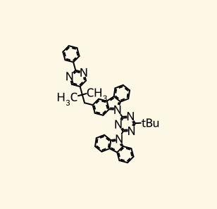 CC(C)(C)c1nc(-n2c3ccccc3c3ccccc32)nc(-n2c3ccccc3c3cc(CC(C)(C)c4cnc(-c5ccccc5)nc4)ccc32)n1